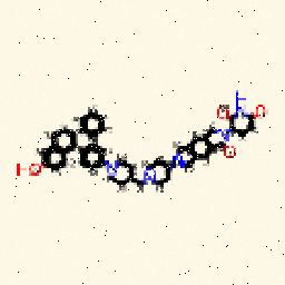 O=C1CCC(N2Cc3cc4c(cc3C2=O)CN(C2CCN(CC3CCN(c5ccc([C@@H]6c7ccc(O)cc7CC[C@@H]6c6ccccc6)cc5)CC3)CC2)C4)C(=O)N1